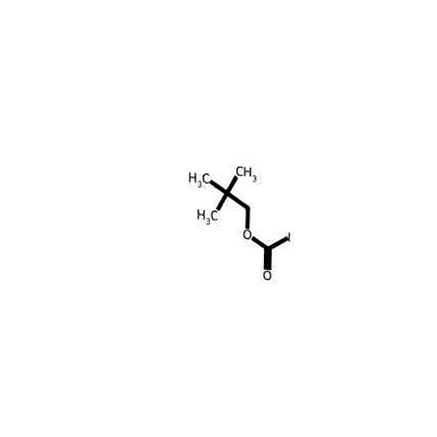 CC(C)(C)COC(=O)I